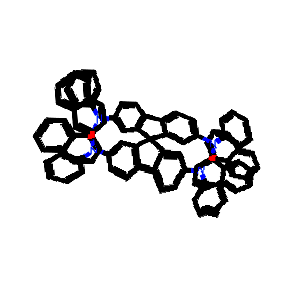 c1ccc(N(c2ccc3c(c2)C2(c4cc(N(c5ccccc5)c5cccc6ccccc56)ccc4-3)c3cc(N(c4ccccc4)c4cccc5ccccc45)ccc3-c3ccc(N(c4ccccc4)c4cccc5ccccc45)cc32)c2ccc3ccccc3c2)cc1